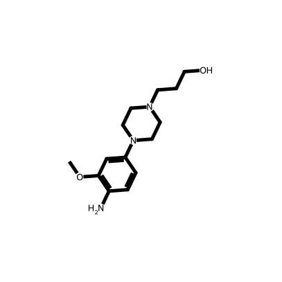 COc1cc(N2CCN(CCCO)CC2)ccc1N